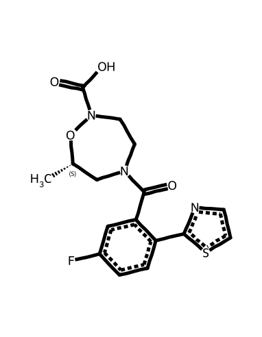 C[C@H]1CN(C(=O)c2cc(F)ccc2-c2nccs2)CCN(C(=O)O)O1